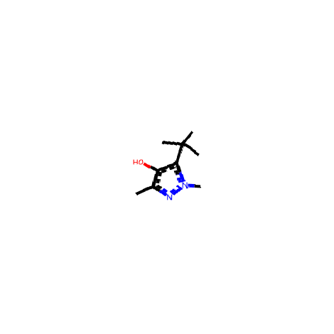 Cc1nn(C)c(C(C)(C)C)c1O